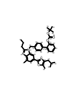 CCCc1nc2c(C)cc(-c3nc(CC(C)C)c(C)o3)cc2n1Cc1ccc(-c2ccccc2OC(=O)OC(C)(C)C)cc1